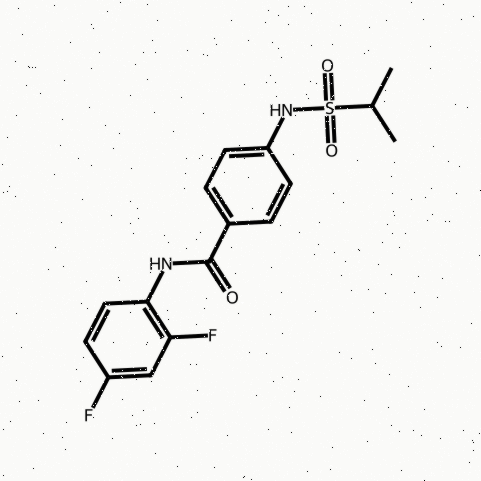 CC(C)S(=O)(=O)Nc1ccc(C(=O)Nc2ccc(F)cc2F)cc1